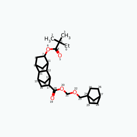 CCC(C)(C)C(=O)OC1CC2CC1C1C3CC(CC3C(=O)OCOCC34CCC(CC3)C4)C21